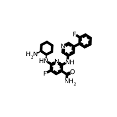 NC(=O)c1cc(F)c(N[C@@H]2CCCC[C@@H]2N)nc1Nc1cncc(-c2ccccc2F)c1